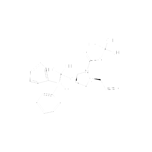 CC(C)(C)OC(=O)N1C[C@@H](O[Si](c2ccccc2)(c2ccccc2)C(C)(C)C)C[C@@H]1CC=O